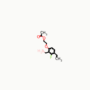 BCc1c(OCCOC(C)=O)ccc(C=C)c1F